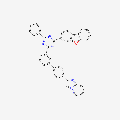 c1ccc(-c2nc(-c3cccc(-c4ccc(-c5cn6ccccc6n5)cc4)c3)nc(-c3ccc4c(c3)oc3ccccc34)n2)cc1